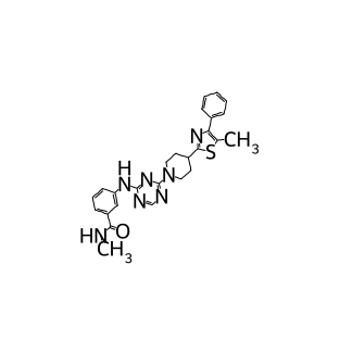 CNC(=O)c1cccc(Nc2ncnc(N3CCC(c4nc(-c5ccccc5)c(C)s4)CC3)n2)c1